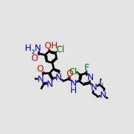 Cc1nc2c(c(-c3cc(Cl)c(O)c(C(N)=O)c3)cn2CC(=O)Nc2cc(N3CCN(C)C[C@@H]3C)nc(F)c2Cl)c(=O)n1C